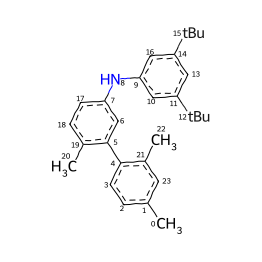 Cc1ccc(-c2cc(Nc3cc(C(C)(C)C)cc(C(C)(C)C)c3)ccc2C)c(C)c1